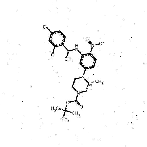 CC(Nc1cc(N2CCN(C(=O)OC(C)(C)C)C[C@H]2C)ccc1[N+](=O)[O-])c1ccc(Cl)cc1Cl